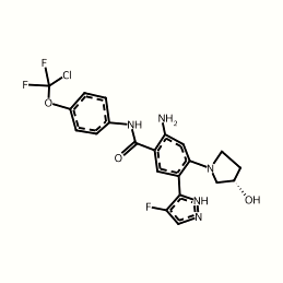 Nc1cc(N2CC[C@H](O)C2)c(-c2[nH]ncc2F)cc1C(=O)Nc1ccc(OC(F)(F)Cl)cc1